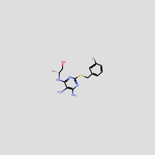 C[C@H](CO)Nc1nc(SCc2cccc(Cl)c2)nc(N)c1N